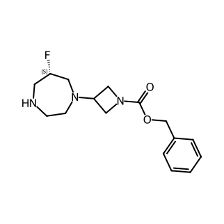 O=C(OCc1ccccc1)N1CC(N2CCNC[C@H](F)C2)C1